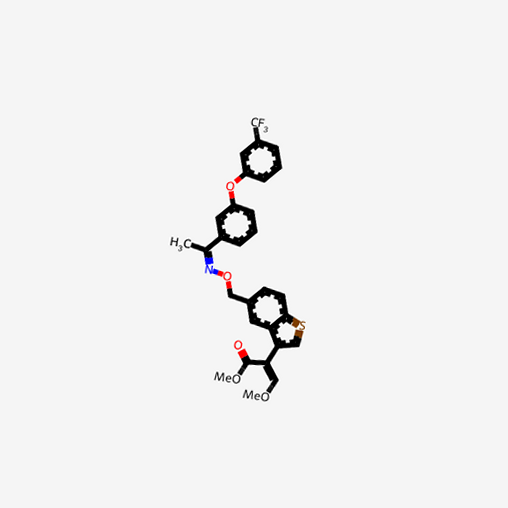 COC=C(C(=O)OC)c1csc2ccc(CON=C(C)c3cccc(Oc4cccc(C(F)(F)F)c4)c3)cc12